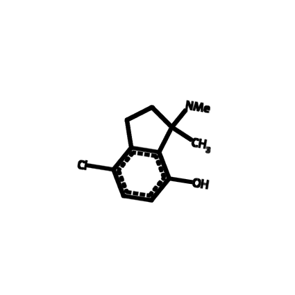 CNC1(C)CCc2c(Cl)ccc(O)c21